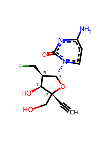 C#C[C@]1(CO)O[C@@H](n2ccc(N)nc2=O)[C@H](CF)[C@@H]1O